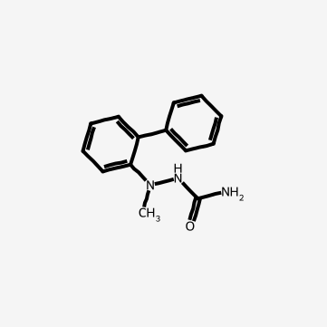 CN(NC(N)=O)c1ccccc1-c1ccccc1